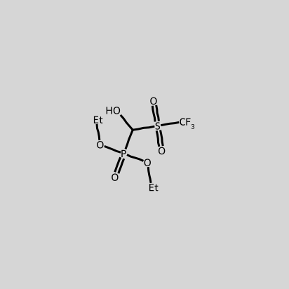 CCOP(=O)(OCC)C(O)S(=O)(=O)C(F)(F)F